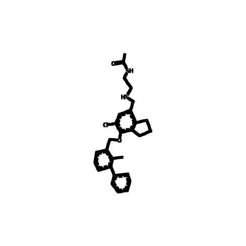 CC(=O)NCCNCc1cc(Cl)c(OCc2cccc(-c3ccccc3)c2C)c2c1CCC2